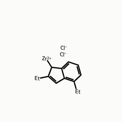 CCC1=Cc2c(CC)cccc2[CH]1[Zr+2].[Cl-].[Cl-]